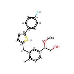 CCC(C)OC(CO)c1ccc(C)c(Cc2ccc(-c3ccc(F)cc3)s2)c1